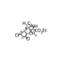 CCOC(=O)c1[nH]c(C)c(Sc2cc(Cl)cc(Cl)c2)c1C